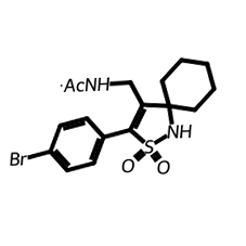 CC(=O)[N]CC1=C(c2ccc(Br)cc2)S(=O)(=O)NC12CCCCC2